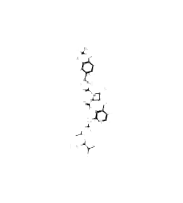 CC(OC(=O)Nc1cc(C[C@H]2C(=O)N(C(=O)N[C@H](C)c3ccc4c(c3)OC(F)(F)O4)[C@@H]2C(=O)O)ccn1)OC(O)C(C)C